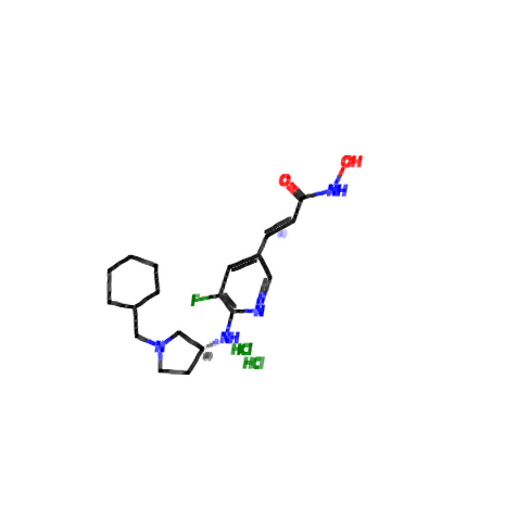 Cl.Cl.O=C(/C=C/c1cnc(N[C@@H]2CCN(CC3CCCCC3)C2)c(F)c1)NO